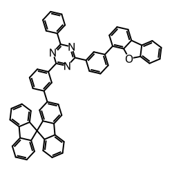 c1ccc(-c2nc(-c3cccc(-c4ccc5c(c4)C4(c6ccccc6-c6ccccc64)c4ccccc4-5)c3)nc(-c3cccc(-c4cccc5c4oc4ccccc45)c3)n2)cc1